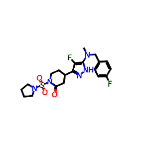 CN(Cc1ccc(F)cc1)c1[nH]nc(C2CCN(S(=O)(=O)N3CCCC3)C(=O)C2)c1F